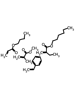 C=C(C)C(=O)OC.C=C(CC)C(=O)OCCCCCC.C=CC(=O)OCCCC.C=Cc1ccccc1